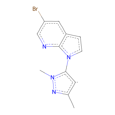 Cc1[c]c(-n2ccc3cc(Br)cnc32)n(C)n1